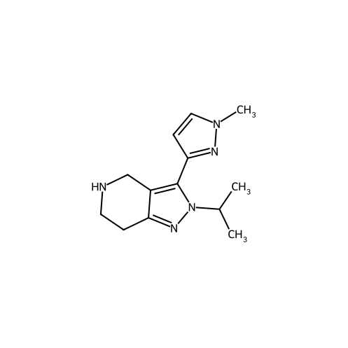 CC(C)n1nc2c(c1-c1ccn(C)n1)CNCC2